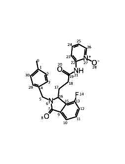 Cc1ccc(CN2C(=O)c3cccc(F)c3C2CCC(=O)Nc2cccc[n+]2[O-])cc1